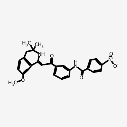 COc1ccc2c(c1)C(=CC(=O)c1cccc(NC(=O)c3ccc([N+](=O)[O-])cc3)c1)NC(C)(C)C2